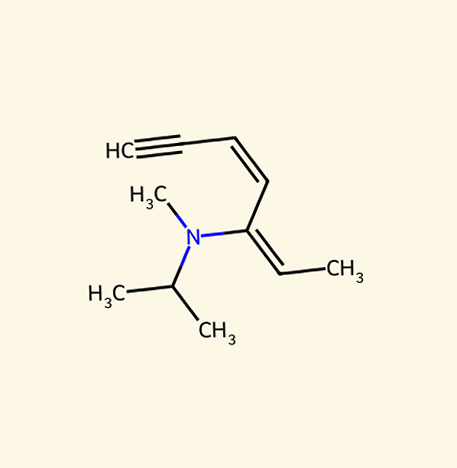 C#C/C=C\C(=C/C)N(C)C(C)C